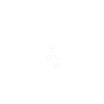 O=C(C[C@@H]1CCc2cc(C(O)(C(F)(F)F)C(F)(F)F)ccc2N1S(=O)(=O)c1ccc(F)cc1)N[C@@H](CO)c1ccccc1